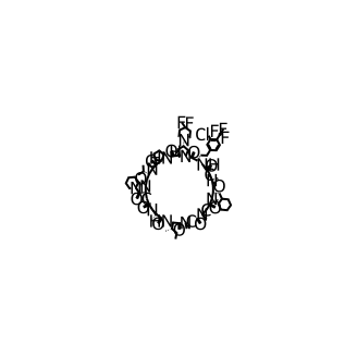 CC[C@H](C)[C@@H]1NC(=O)[C@H](C)N(C)C(=O)C[C@@H](C(=O)N2CCCCC2)N(C)C(=O)[C@H](C(C)C)N(C)C(=O)C2(CCCC2)NC(=O)[C@@H]2C[C@H](N3CCC(F)(F)CC3)CN2C(=O)[C@H](CCc2ccc(C(F)(F)F)c(Cl)c2)NC(=O)CN(C)C(=O)[C@H](CC2CCCCC2)N(C)C(=O)CN(C)C(=O)CN(C)C1=O